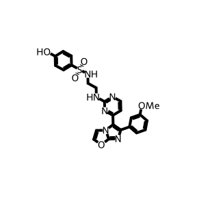 COc1cccc(-c2nc3occn3c2-c2ccnc(NCCNS(=O)(=O)c3ccc(O)cc3)n2)c1